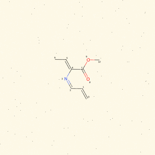 C=C/C=N\C(=C/C)C(=O)OC